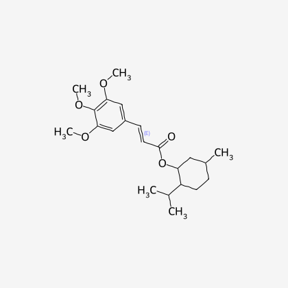 COc1cc(/C=C/C(=O)OC2CC(C)CCC2C(C)C)cc(OC)c1OC